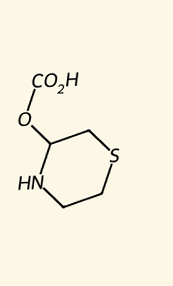 O=C(O)OC1CSCCN1